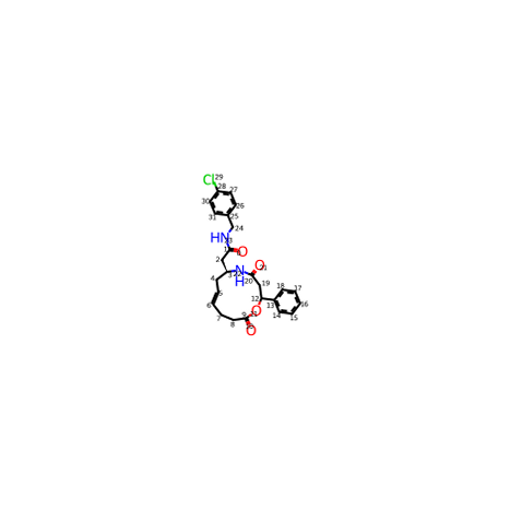 O=C(C[C@@H]1C/C=C/CCC(=O)OC(c2ccccc2)CC(=O)N1)NCc1ccc(Cl)cc1